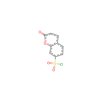 O=c1ccc2ccc(S(=O)(=O)Cl)cc2o1